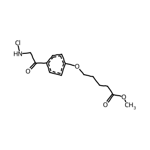 COC(=O)CCCCOc1ccc(C(=O)CNCl)cc1